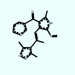 C=Nc1[nH]c(C)c(C(=O)c2cccnc2)c1/C=C(\C)c1c(C)noc1C